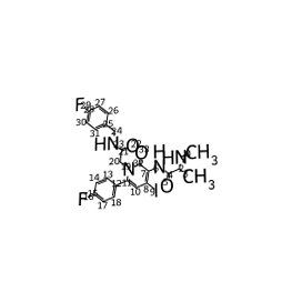 CNC(C)C(=O)Nc1c(I)cc(-c2ccc(F)cc2)n(CC(=O)NCc2ccc(F)cc2)c1=O